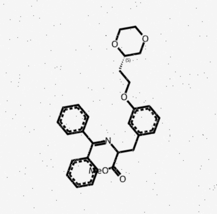 COC(=O)C(Cc1cccc(OCC[C@H]2COCCO2)c1)N=C(c1ccccc1)c1ccccc1